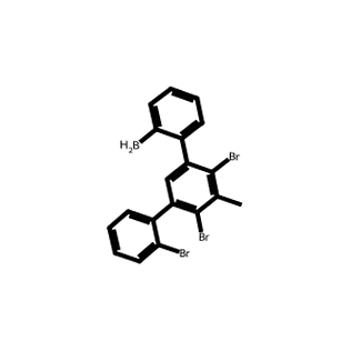 Bc1ccccc1-c1cc(-c2ccccc2Br)c(Br)c(C)c1Br